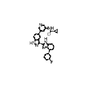 O=C(Nc1cncc(-c2ccc3[nH]nc(-c4nc5c(-c6cccc(F)c6)cccc5[nH]4)c3c2)c1)C1CC1